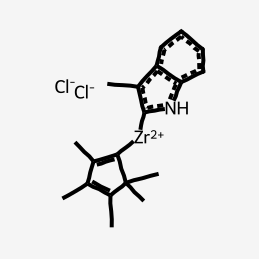 CC1=C(C)C(C)(C)[C]([Zr+2][c]2[nH]c3ccccc3c2C)=C1C.[Cl-].[Cl-]